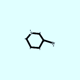 Br[C]1CCCSC1